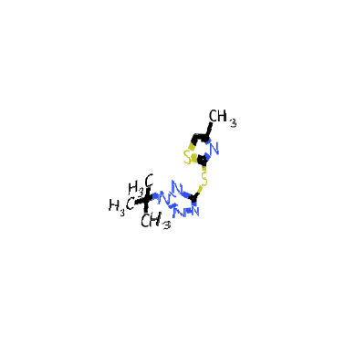 Cc1csc(Sc2nnn(C(C)(C)C)n2)n1